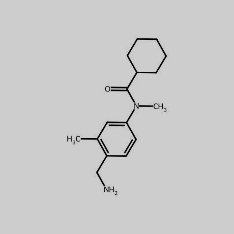 Cc1cc(N(C)C(=O)C2CCCCC2)ccc1CN